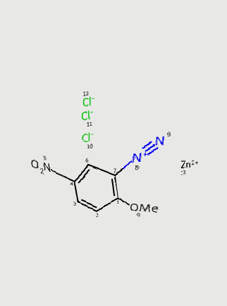 COc1ccc([N+](=O)[O-])cc1[N+]#N.[Cl-].[Cl-].[Cl-].[Zn+2]